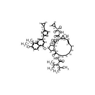 COc1ccc2c(O[C@@H]3C[C@H]4C(=O)N[C@]5(C(=O)NS(=O)(=O)C6CC6)C[C@H]5/C=C/CCCCC[C@H](NC(=O)N(C(C)C)C(C)C)C(=O)N4C3)cc(-c3nc(C4CC4)cs3)nc2c1C